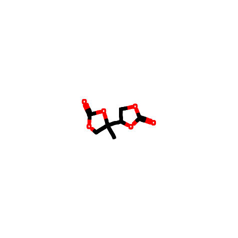 CC1(C2COC(=O)O2)COC(=O)O1